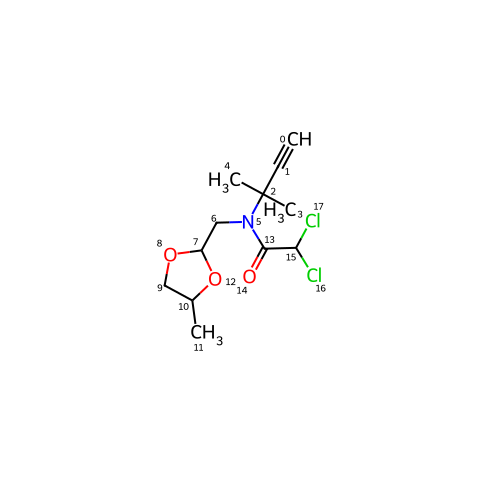 C#CC(C)(C)N(CC1OCC(C)O1)C(=O)C(Cl)Cl